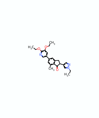 CCOc1cc(-c2cc(C)c3c(c2)CC(c2cnn(CC)c2)C3=O)cnc1OCC